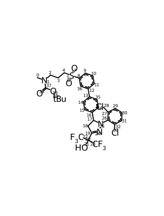 CN(CCCS(=O)(=O)c1cccc(-c2ccc(C3CC(C(O)(C(F)(F)F)C(F)(F)F)=NN3c3c(Cl)cccc3Cl)cc2)c1)C(=O)OC(C)(C)C